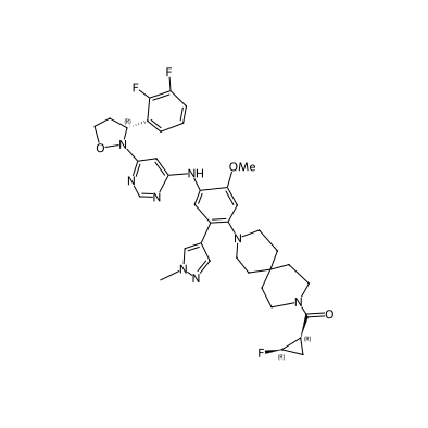 COc1cc(N2CCC3(CCN(C(=O)[C@H]4C[C@H]4F)CC3)CC2)c(-c2cnn(C)c2)cc1Nc1cc(N2OCC[C@@H]2c2cccc(F)c2F)ncn1